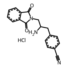 Cl.N#Cc1ccc(CC(N)CN2C(=O)c3ccccc3C2=O)cc1